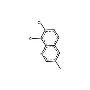 Cc1cnc2c(Cl)c(Cl)ccc2c1